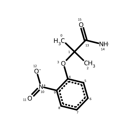 CC(C)(Oc1ccccc1[N+](=O)[O-])C([NH])=O